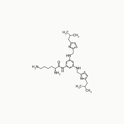 CC(C)Cc1csc(CNc2cc(NCc3nc(CC(C)C)cs3)cc(NC(=O)[C@@H](N)CCCCN)c2)n1